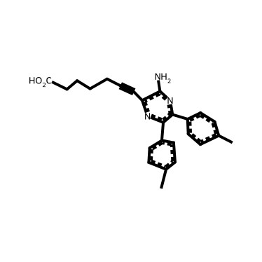 Cc1ccc(-c2nc(N)c(C#CCCCCC(=O)O)nc2-c2ccc(C)cc2)cc1